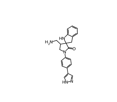 NCC1CN(c2ccc(-c3cn[nH]c3)cc2)C(=O)C12Cc1ccccc1N2